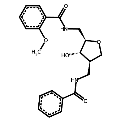 COc1ccccc1C(=O)NC[C@H]1OC[C@@H](CNC(=O)c2ccccc2)[C@@H]1O